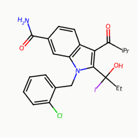 CCC(O)(I)c1c(C(=O)C(C)C)c2ccc(C(N)=O)cc2n1Cc1ccccc1Cl